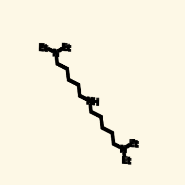 CCN(CC)CCCCCNCCCCCN(CC)CC